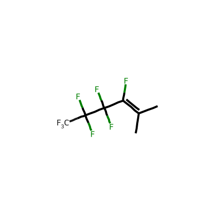 CC(C)=C(F)C(F)(F)C(F)(F)C(F)(F)F